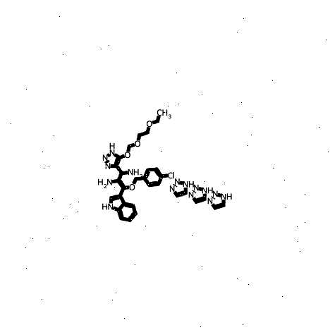 CCOCCOCOc1[nH]nnc1C(N)C(N)=C(OCc1ccc(Cl)cc1)c1c[nH]c2ccccc12.c1c[nH]nn1.c1c[nH]nn1.c1c[nH]nn1